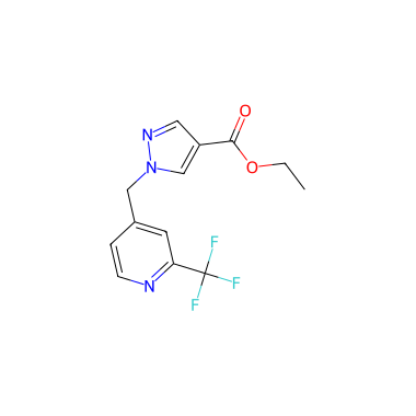 CCOC(=O)c1cnn(Cc2ccnc(C(F)(F)F)c2)c1